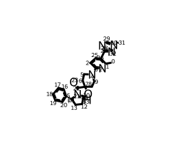 Cc1nc(N2CCC3(CC2)O[C@@H]2CC[C@@H](c4ccccc4)N2C3=O)ccc1-c1ncn(C)n1